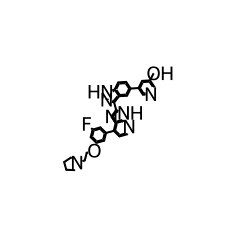 Oc1cncc(-c2ccc3[nH]nc(-c4nc5c(-c6cc(F)cc(OCCN7CCCC7)c6)ccnc5[nH]4)c3c2)c1